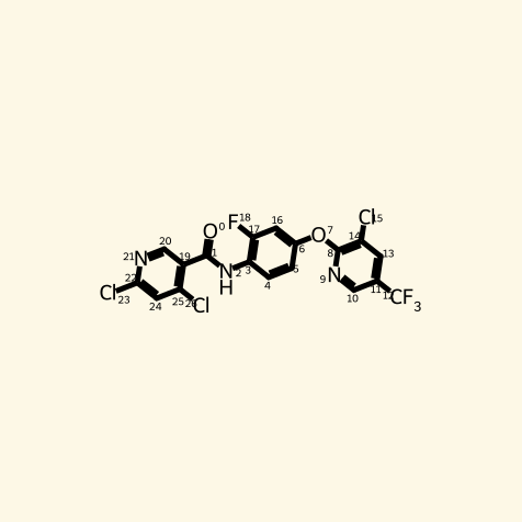 O=C(Nc1ccc(Oc2ncc(C(F)(F)F)cc2Cl)cc1F)c1cnc(Cl)cc1Cl